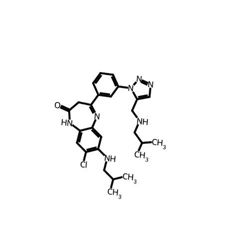 CC(C)CNCc1cnnn1-c1cccc(C2=Nc3cc(NCC(C)C)c(Cl)cc3NC(=O)C2)c1